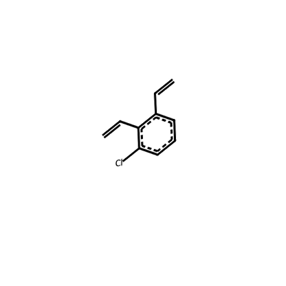 C=Cc1cccc(Cl)c1C=C